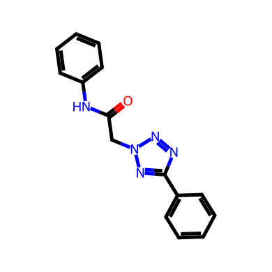 O=C(Cn1nnc(-c2ccccc2)n1)Nc1ccccc1